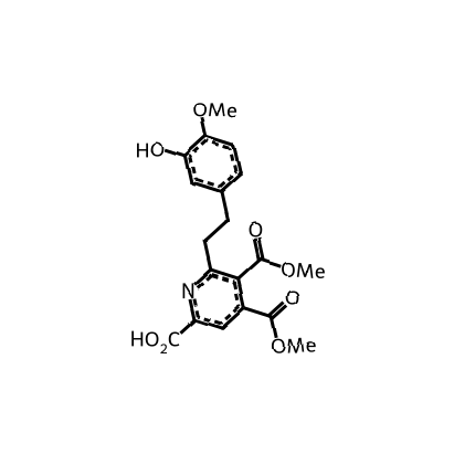 COC(=O)c1cc(C(=O)O)nc(CCc2ccc(OC)c(O)c2)c1C(=O)OC